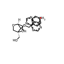 Nc1ncnc2c1ncn2[C@@H]1O[C@@]2(CO)CO[C@@H]1[C@@H]2OCc1ccccc1